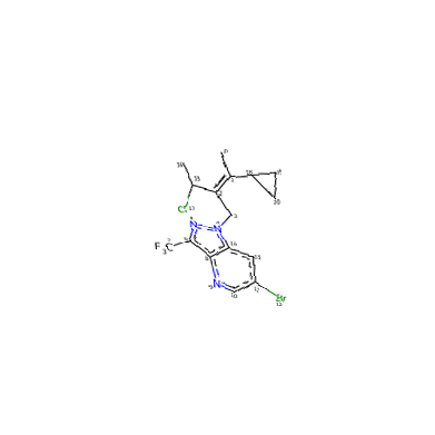 C/C(=C(/Cn1nc(C(F)(F)F)c2ncc(Br)cc21)C(C)Cl)C1CC1